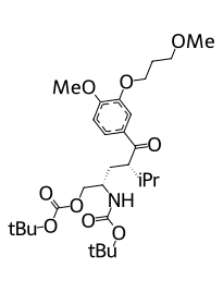 COCCCOc1cc(C(=O)[C@@H](C[C@@H](COC(=O)OC(C)(C)C)NC(=O)OC(C)(C)C)C(C)C)ccc1OC